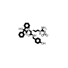 N/C(=N/[N+](=O)[O-])NCCC[C@@H](NC(=O)C(O)(c1ccccc1)c1ccccc1)C(=O)NCc1ccc(O)cc1